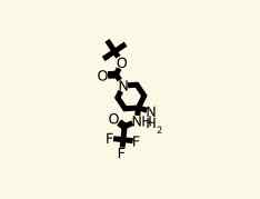 CC(C)(C)OC(=O)N1CCC(N)(NC(=O)C(F)(F)F)CC1